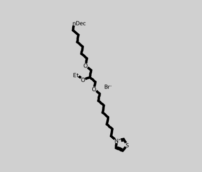 CCCCCCCCCCCCCCCCOCC(COCCCCCCCC[n+]1ccsc1)OCC.[Br-]